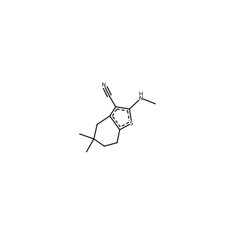 CNc1sc2c(c1C#N)CC(C)(C)CC2